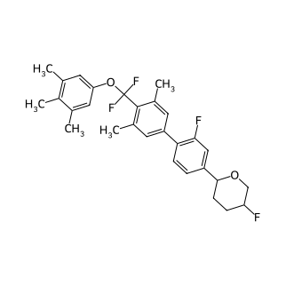 Cc1cc(OC(F)(F)c2c(C)cc(-c3ccc(C4CCC(F)CO4)cc3F)cc2C)cc(C)c1C